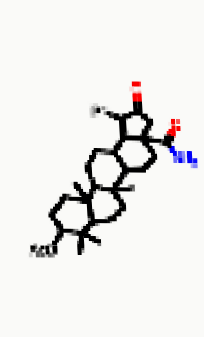 CC(=O)OC1CCC2(C)C(CCC3(C)C4CCC5(C(N)=O)CC(=O)C(C(C)C)=C5C4CCC32)C1(C)C